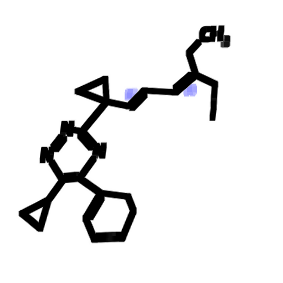 CC/C(=C\C=C\C1(c2nnc(C3CC3)c(C3=CC=CCC3)n2)CC1)CI